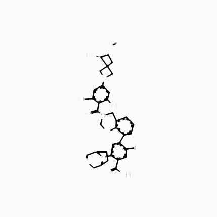 CO[C@@H]1CC2(CN(c3cc(Cl)c(C(=O)N4COc5c(cccc5-c5cc(N6C7CCC6COC7)c(C(=O)O)cc5F)C4)c(Cl)c3)C2)[C@H]1C